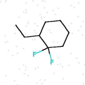 CCC1CCCCC1(F)F